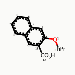 CCCOc1cc2ccccc2cc1C(=O)O